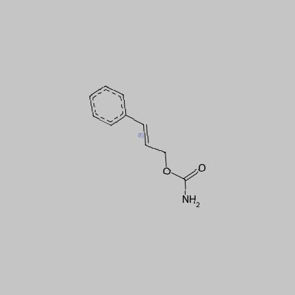 NC(=O)OC/C=C/c1ccccc1